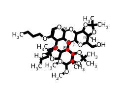 CCCCOC1=CO[C@@H](OC2C3OC(C)(C)O[C@H]3C(CO)O[C@H]2O[C@H](C2COC(C)(C)O2)C2OC(C)(C)OC2C(OC)OC)C(OCCCC)C1OCCCC